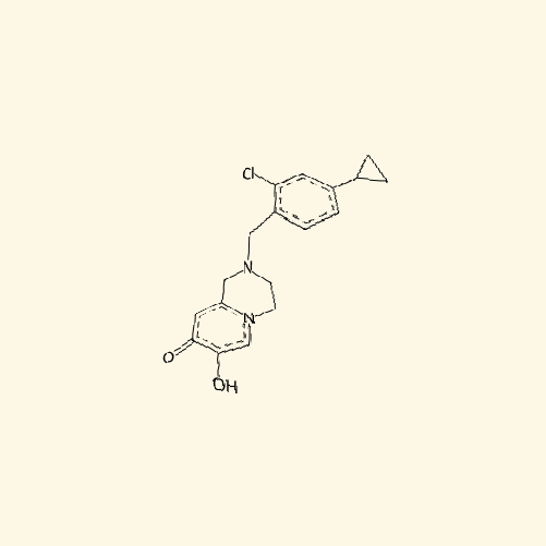 O=c1cc2n(cc1O)CCN(Cc1ccc(C3CC3)cc1Cl)C2